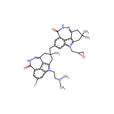 CN(C)CCn1c2c3c4c(cc(F)cc41)C(=O)NN=C3CC(C)(Cc1cc3c4c5c(n(CC6CO6)c4c1)CC(C)(C)CC5=NNC3=O)C2